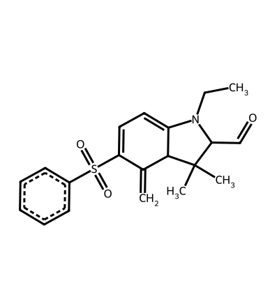 C=C1C(S(=O)(=O)c2ccccc2)=CC=C2C1C(C)(C)C(C=O)N2CC